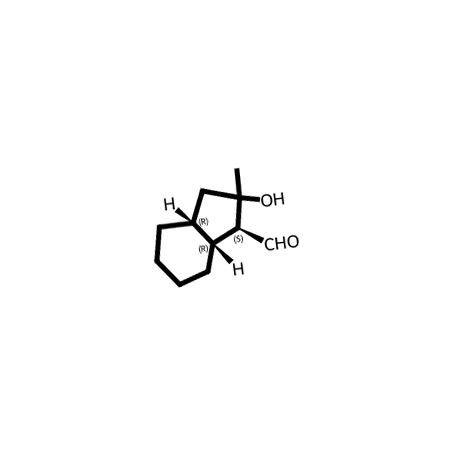 CC1(O)C[C@H]2CCCC[C@H]2[C@@H]1C=O